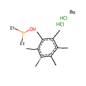 CCP(O)CC.Cc1c(C)c(C)c(C)c(C)c1C.Cl.Cl.[Ru]